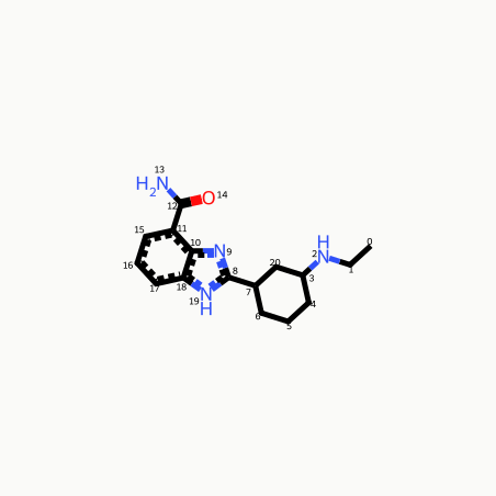 CCNC1CCCC(c2nc3c(C(N)=O)cccc3[nH]2)C1